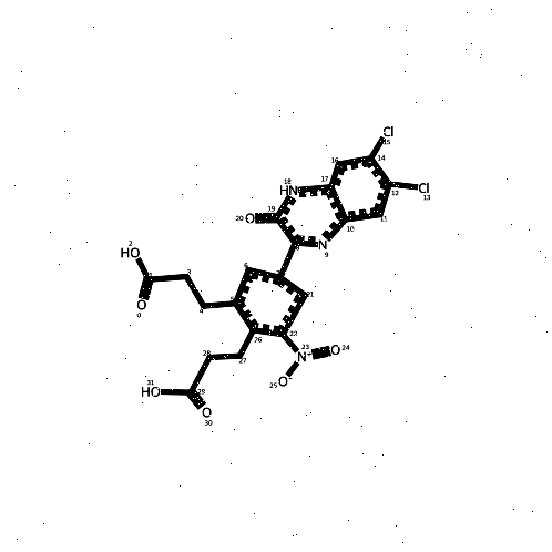 O=C(O)CCc1cc(-c2nc3cc(Cl)c(Cl)cc3[nH]c2=O)cc([N+](=O)[O-])c1CCC(=O)O